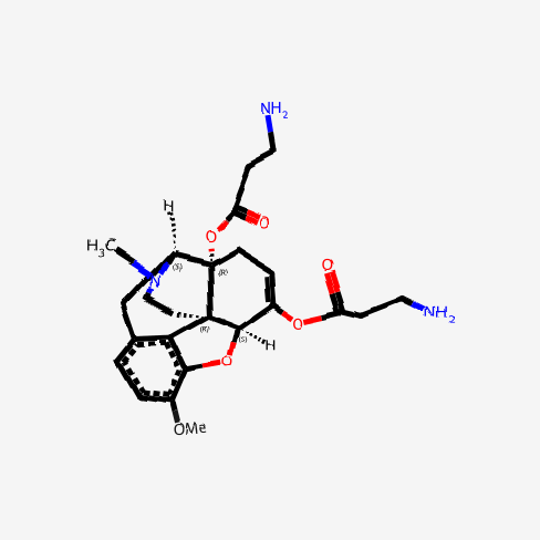 COc1ccc2c3c1O[C@@H]1C(OC(=O)CCN)=CC[C@]4(OC(=O)CCN)[C@H](C2)N(C)CC[C@@]314